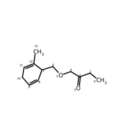 CCC(=O)COCC1C=CCC=C1C